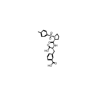 Cc1ccc(S(=O)(=O)N2CCC[C@H]2C(=O)N[C@@H](Cc2cccc(C(=O)O)c2)C(=O)O)cc1